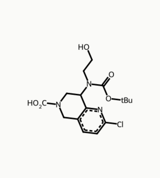 CC(C)(C)OC(=O)N(CCO)C1CN(C(=O)O)Cc2ccc(Cl)nc21